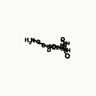 NCCOCCOCCNC(=O)c1ccc(CNc2nc(NCC3CCCCC3)nc(N[C@@H]3CC4CCC3C4)n2)cc1